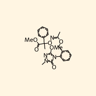 COC(=O)C(C)(O/N=C(/C)OCc1ccccc1-n1c(OC)nn(C)c1=O)c1ccccc1